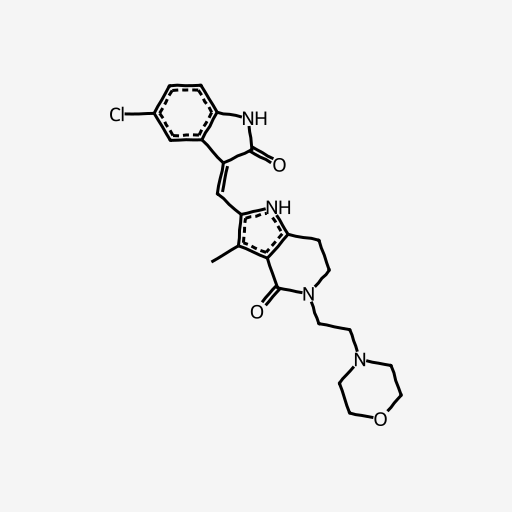 Cc1c(C=C2C(=O)Nc3ccc(Cl)cc32)[nH]c2c1C(=O)N(CCN1CCOCC1)CC2